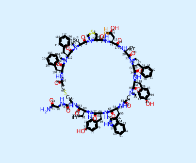 CCCC[C@H]1C(=O)N2CSC[C@@H]2C(=O)N[C@@H](CC(O)=P)C(=O)N[C@@H](C(C)C)C(=O)N(C)[C@@H](Cc2ccccc2)C(=O)N[C@@H](Cc2ccc(O)cc2)C(=O)N(C)CC(=O)N[C@@H](Cc2c[nH]c3ccccc23)C(=O)N[C@@H](Cc2ccc(O)cc2)C(=O)N[C@@H](CC(C)C)C(=O)N[C@H](C(=O)NCC(N)=O)CSCC(=O)N[C@@H](Cc2ccccc2)C(=O)N(C)[C@@H](Cc2ccccc2)C(=O)N1C